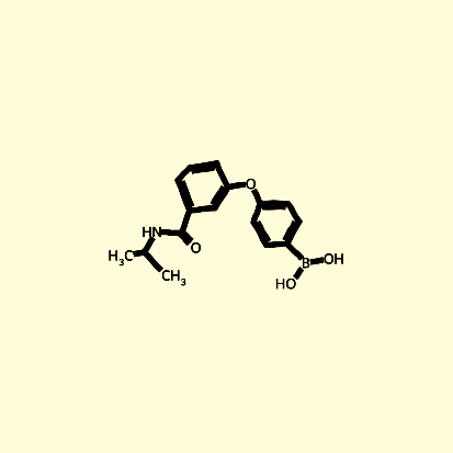 CC(C)NC(=O)c1cccc(Oc2ccc(B(O)O)cc2)c1